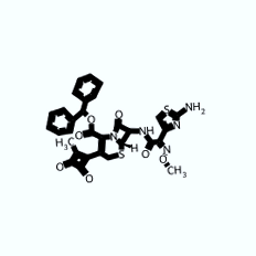 CO/N=C(\C(=O)NC1C(=O)N2C(C(=O)OC(c3ccccc3)c3ccccc3)=C(c3c(C)c(=O)c3=O)CS[C@@H]12)c1csc(N)n1